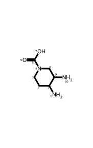 NC1CCN(C(=O)O)CC1N